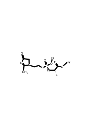 CCO[P@](=O)(N[C@@H](C)C(=O)OC(C)C)SCCN1CC(=O)N=C1N